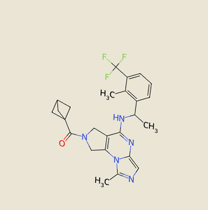 Cc1c(C(C)Nc2nc3cnc(C)n3c3c2CN(C(=O)C24CC(C2)C4)C3)cccc1C(F)(F)F